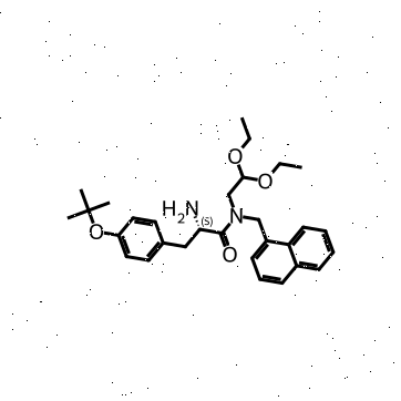 CCOC(CN(Cc1cccc2ccccc12)C(=O)[C@@H](N)Cc1ccc(OC(C)(C)C)cc1)OCC